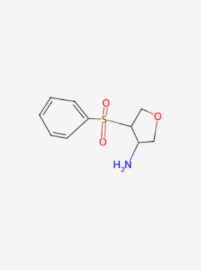 NC1COCC1S(=O)(=O)c1ccccc1